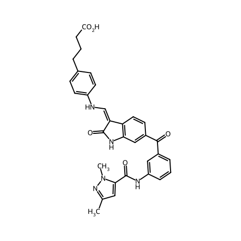 Cc1cc(C(=O)Nc2cccc(C(=O)c3ccc4c(c3)NC(=O)/C4=C\Nc3ccc(CCCC(=O)O)cc3)c2)n(C)n1